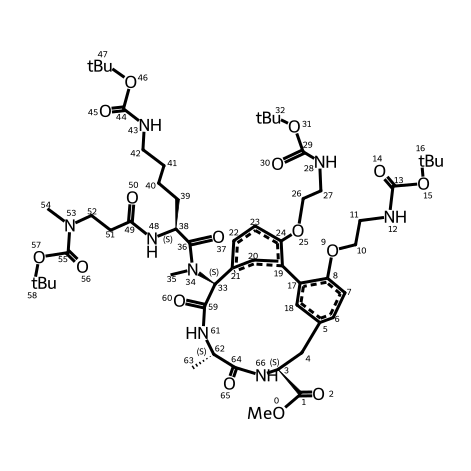 COC(=O)[C@@H]1Cc2ccc(OCCNC(=O)OC(C)(C)C)c(c2)-c2cc(ccc2OCCNC(=O)OC(C)(C)C)[C@H](N(C)C(=O)[C@H](CCCCNC(=O)OC(C)(C)C)NC(=O)CCN(C)C(=O)OC(C)(C)C)C(=O)N[C@@H](C)C(=O)N1